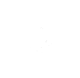 OC[C@@H](OCC1(c2ccccc2)CCC(NCC2CC2)CC1)c1cc(C(F)(F)F)cc(C(F)(F)F)c1